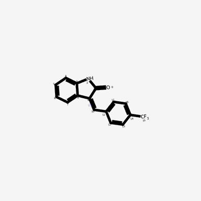 O=C1Nc2ccccc2/C1=C/c1ccc(C(F)(F)F)cc1